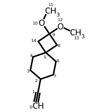 C#CC1CCC2(CC1)CC(OC)(OC)C2